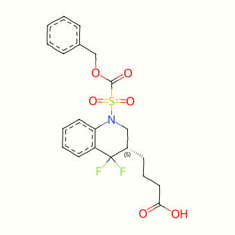 O=C(O)CCC[C@H]1CN(S(=O)(=O)C(=O)OCc2ccccc2)c2ccccc2C1(F)F